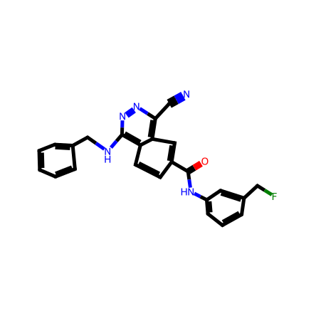 N#Cc1nnc(NCc2ccccc2)c2ccc(C(=O)Nc3cccc(CF)c3)cc12